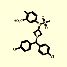 CS(=O)(=O)N(c1ccc(F)c(C(=O)O)c1)C1CN(C(c2ccc(Cl)cc2)c2ccc(Cl)cc2)C1